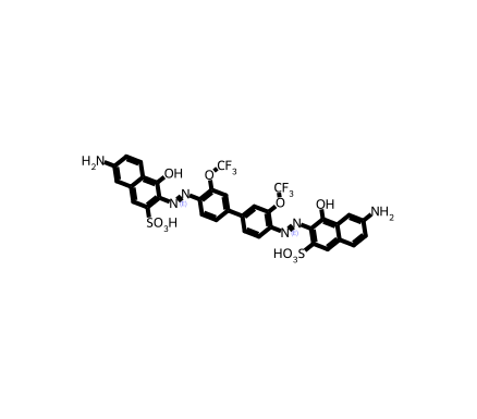 Nc1ccc2c(O)c(/N=N/c3ccc(-c4ccc(/N=N/c5c(S(=O)(=O)O)cc6ccc(N)cc6c5O)c(OC(F)(F)F)c4)cc3OC(F)(F)F)c(S(=O)(=O)O)cc2c1